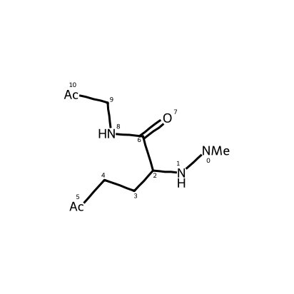 CNNC(CCC(C)=O)C(=O)NCC(C)=O